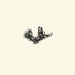 OC(CN1CCN(CC(O)Cn2c3ccc(Cl)cc3c3cc(Cl)ccc32)CC1)Cn1c2ccccc2c2ccccc21